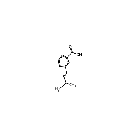 CC(C)SCc1cccc(C(=O)O)c1